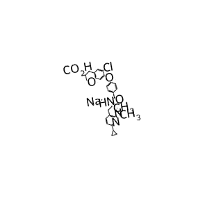 CN(C)c1nc(C2CC2)ccc1CCNC(=O)c1ccc(Oc2cc3c(cc2Cl)C(C(=O)O)CCO3)cc1.[Na]